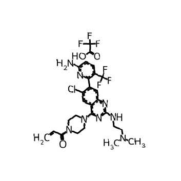 C=CC(=O)N1CCN(c2nc(NCCN(C)C)nc3cc(-c4nc(N)ccc4C(F)(F)F)c(Cl)cc23)CC1.O=C(O)C(F)(F)F